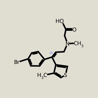 Cc1cscc1/C(=C\CN(C)CC(=O)O)c1ccc(Br)cc1